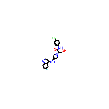 O=C(Nc1ccc(Cl)cc1)C(CO)N1CC2C(C1)C2Nc1ccnc2ccc(F)cc12